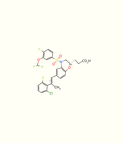 C/C(=C\c1ccc2c(c1)N(S(=O)(=O)c1ccc(F)c(OC(F)F)c1)C[C@H](CCC(=O)O)O2)c1c(F)cccc1Cl